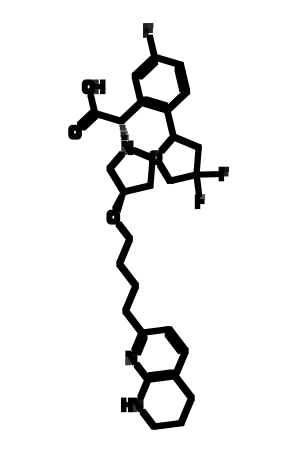 O=C(O)[C@H](c1cc(F)ccc1C1CC(F)(F)CO1)N1CC[C@@H](OCCCCc2ccc3c(n2)NCCC3)C1